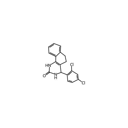 O=C1NC2=C(CCc3ccccc32)C(c2ccc(Cl)cc2Cl)N1